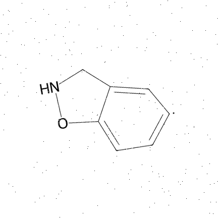 [c]1ccc2c(c1)CNO2